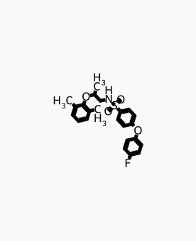 Cc1cccc(C)c1OC(C)CNS(=O)(=O)c1ccc(Oc2ccc(F)cc2)cc1